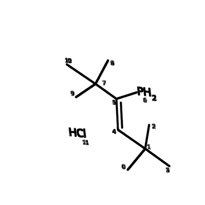 CC(C)(C)C=C(P)C(C)(C)C.Cl